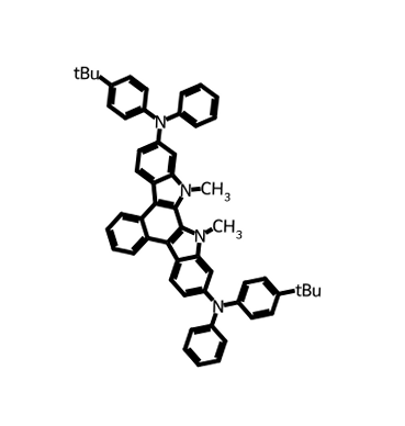 Cn1c2cc(N(c3ccccc3)c3ccc(C(C)(C)C)cc3)ccc2c2c3ccccc3c3c4ccc(N(c5ccccc5)c5ccc(C(C)(C)C)cc5)cc4n(C)c3c21